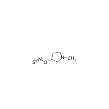 CN1CC[C@@H](ON=S)C1